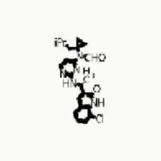 CC(C)CC1(N(C=O)c2ccnc(N[C@@H](C)c3cc4cccc(Cl)c4[nH]c3=O)n2)CC1